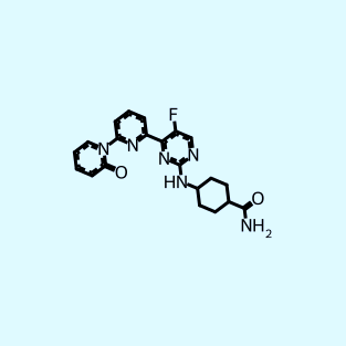 NC(=O)C1CCC(Nc2ncc(F)c(-c3cccc(-n4ccccc4=O)n3)n2)CC1